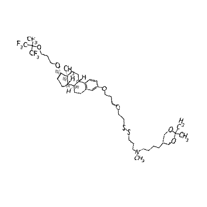 CN(CCCCC1COC(C)(C)OC1)CCCSSCCOCCCOc1ccc2c(c1)CC[C@@H]1[C@@H]2CC[C@]2(C)[C@@H](OCCCOC(C(F)(F)F)(C(F)(F)F)C(F)(F)F)CC[C@@H]12